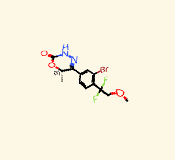 COCC(F)(F)c1ccc(C2=NNC(=O)O[C@H]2C)cc1Br